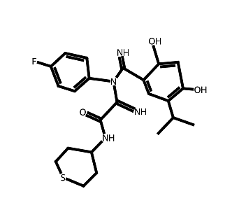 CC(C)c1cc(C(=N)N(C(=N)C(=O)NC2CCSCC2)c2ccc(F)cc2)c(O)cc1O